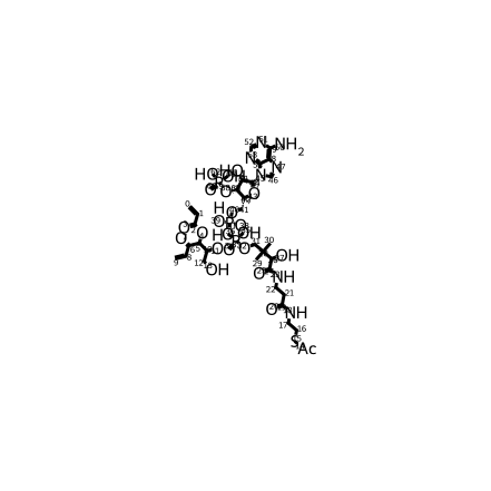 C=CC(=O)OC(C(=O)C=C)C(O)CO.CC(=O)SCCNC(=O)CCNC(=O)C(O)C(C)(C)COP(=O)(O)OP(=O)(O)OC[C@H]1O[C@@H](n2cnc3c(N)ncnc32)[C@H](O)[C@@H]1OP(=O)(O)O